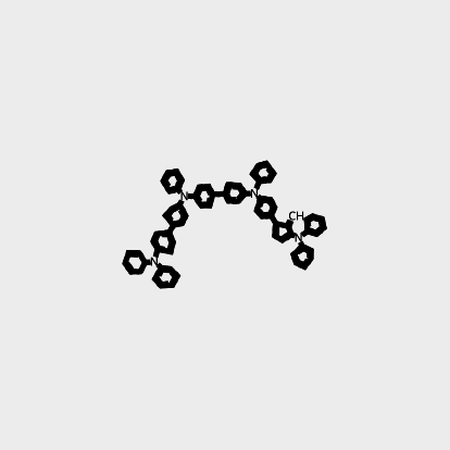 C=C1C(c2ccc(N(c3ccccc3)c3ccc(-c4ccc(N(c5ccccc5)c5ccc(-c6ccc(N(c7ccccc7)C7C=CC=CC7)cc6)cc5)cc4)cc3)cc2)=CC=C1N(c1ccccc1)c1ccccc1